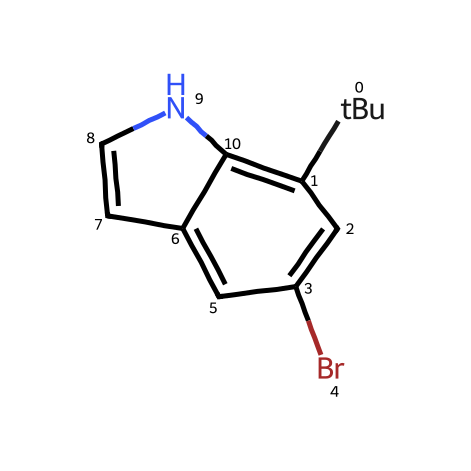 CC(C)(C)c1cc(Br)cc2cc[nH]c12